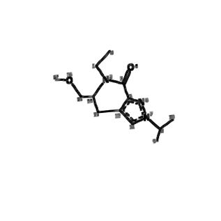 CCN1C(=O)c2nn(C(C)C)cc2CC1COC